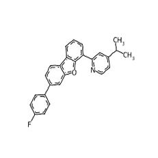 CC(C)c1ccnc(-c2cccc3c2oc2cc(-c4ccc(F)cc4)ccc23)c1